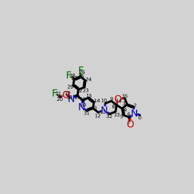 Cn1cc2c(cc1=O)C1(CCN(Cc3ccc(/C(=N/OCF)c4ccc(F)c(F)c4)nc3)CC1)OC2